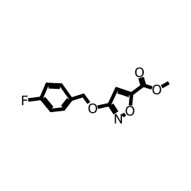 COC(=O)c1cc(OCc2ccc(F)cc2)no1